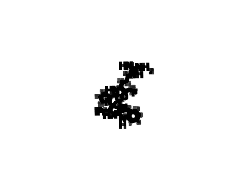 CC(C)C(NC(=O)Nc1ccccc1Cl)C(=O)N1CCC[C@H]1C(=O)NC(CCCNC(=N)N)C(=O)CF